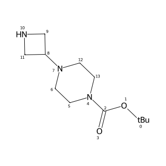 CC(C)(C)OC(=O)N1CCN(C2CNC2)CC1